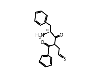 N[C@@H](Cc1ccccc1)C(=O)C(CC=S)C(=O)c1ccccc1